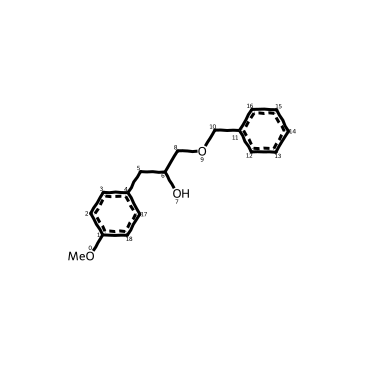 COc1ccc(CC(O)COCc2ccccc2)cc1